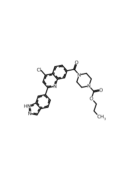 CCCOC(=O)N1CCN(C(=O)c2ccc3c(Cl)cc(-c4ccc5cn[nH]c5c4)nc3c2)CC1